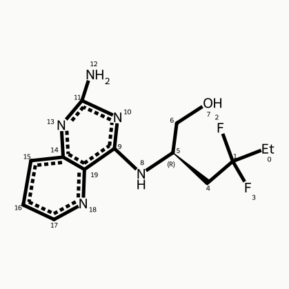 CCC(F)(F)C[C@H](CO)Nc1nc(N)nc2cccnc12